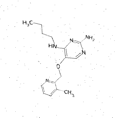 CCCCNc1nc(N)ncc1OCc1ncccc1C